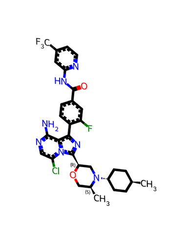 C[C@H]1CO[C@@H](c2nc(-c3ccc(C(=O)Nc4cc(C(F)(F)F)ccn4)cc3F)c3c(N)ncc(Cl)n23)CN1[C@H]1CC[C@H](C)CC1